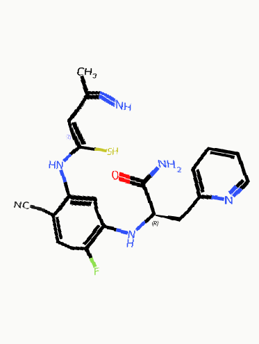 CC(=N)/C=C(\S)Nc1cc(N[C@H](Cc2ccccn2)C(N)=O)c(F)cc1C#N